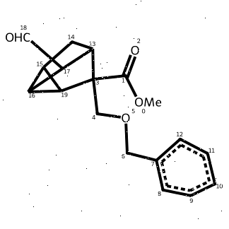 COC(=O)C1(COCc2ccccc2)C2CC3C(C2C=O)C31